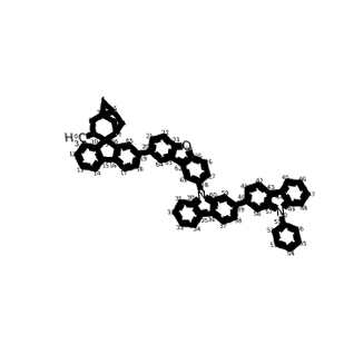 CC1CC23CC2CC(C3)C12c1ccccc1-c1ccc(-c3ccc4oc5ccc(-n6c7ccccc7c7ccc(-c8ccc9c%10ccccc%10n(-c%10ccccc%10)c9c8)cc76)cc5c4c3)cc12